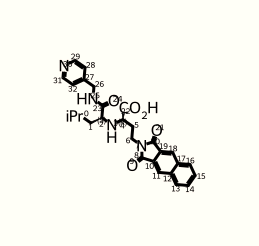 CC(C)C[C@H](N[C@H](CCN1C(=O)c2cc3ccccc3cc2C1=O)C(=O)O)C(=O)NCc1ccncc1